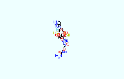 NCC(=O)NCOCCn1cnc2c(ncn2[C@@H]2O[C@@H]3COP(=O)(S)O[C@H]4[C@@H](F)[C@H](n5cc6c7c(ncnc75)NCCC6)O[C@@H]4COP(=O)(S)O[C@@H]2[C@@H]3O)c1=O